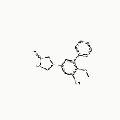 COc1c(O)cc(C2CNC(=O)C2)cc1-c1ccccc1